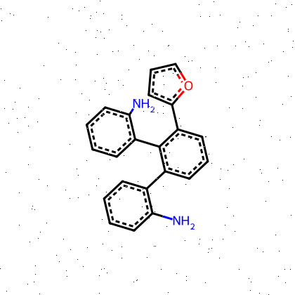 Nc1ccccc1-c1cc[c]c(-c2ccco2)c1-c1ccccc1N